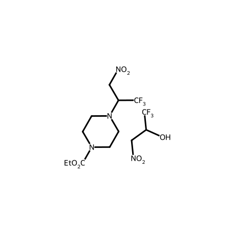 CCOC(=O)N1CCN(C(C[N+](=O)[O-])C(F)(F)F)CC1.O=[N+]([O-])CC(O)C(F)(F)F